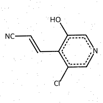 N#CC=Cc1c(O)cncc1Cl